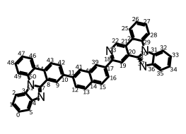 c1ccc2c(c1)nc1c3cc(-c4ccc5ccc(-c6cc7c(cn6)c6ccccc6n6c8ccccc8nc76)cc5c4)ccc3c3ccccc3n21